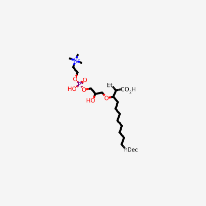 CCCCCCCCCCCCCCCCCCC(OCC(O)COP(=O)(O)OCC[N+](C)(C)C)C(CC)C(=O)O